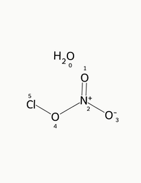 O.O=[N+]([O-])OCl